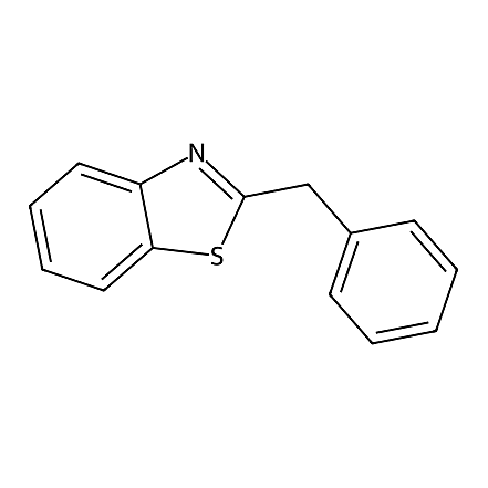 c1ccc(Cc2nc3ccccc3s2)cc1